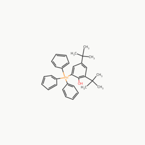 CC(C)(C)c1cc(C(C)(C)C)c(O)c([PH](c2ccccc2)(c2ccccc2)c2ccccc2)c1